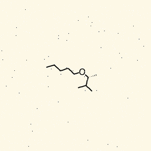 CCCCCO[C@H](C)C(C)C